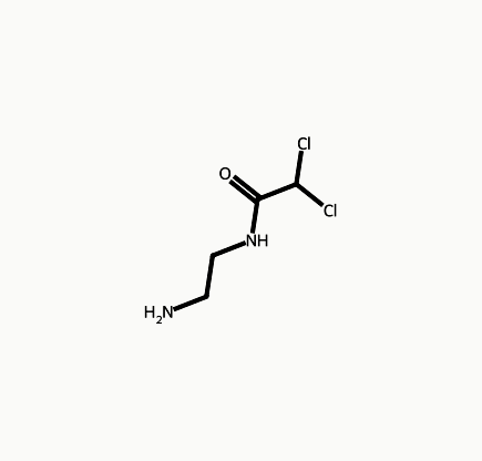 NCCNC(=O)C(Cl)Cl